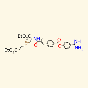 CCOC(=O)CCCSC[C@H](NC(=O)/C(C)=C/c1ccc(C(=O)Oc2ccc(C(=N)N)cc2)cc1)C(=O)OCC